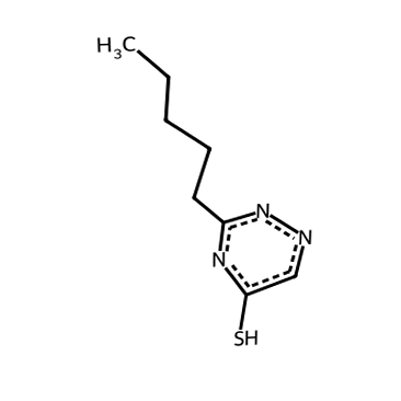 CCCCCc1nncc(S)n1